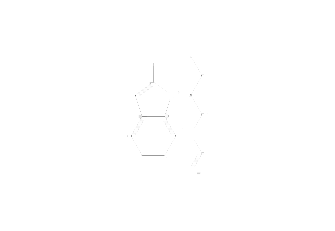 Brc1cc2ccccc2s1.CCCCOC=O